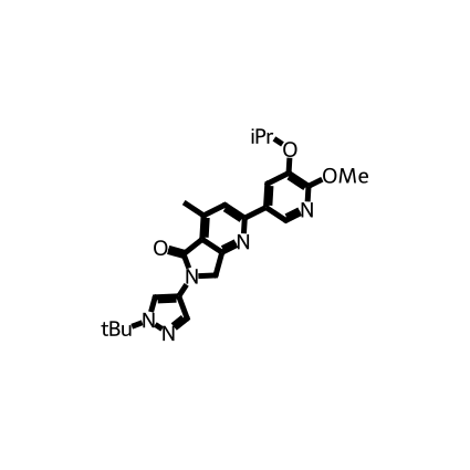 COc1ncc(-c2cc(C)c3c(n2)CN(c2cnn(C(C)(C)C)c2)C3=O)cc1OC(C)C